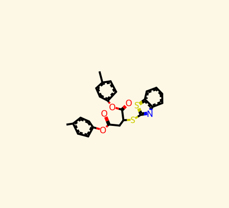 Cc1ccc(OC(=O)CC(Sc2nc3ccccc3s2)C(=O)Oc2ccc(C)cc2)cc1